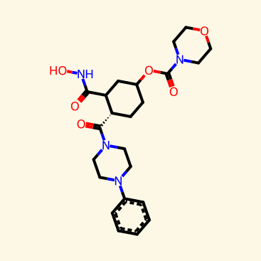 O=C(NO)C1CC(OC(=O)N2CCOCC2)CC[C@@H]1C(=O)N1CCN(c2ccccc2)CC1